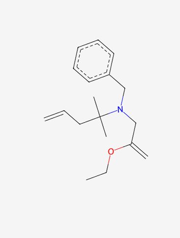 C=CCC(C)(C)N(CC(=C)OCC)Cc1ccccc1